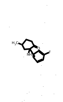 CC1CCC(=O)C(N)(c2cccc(F)c2)C1